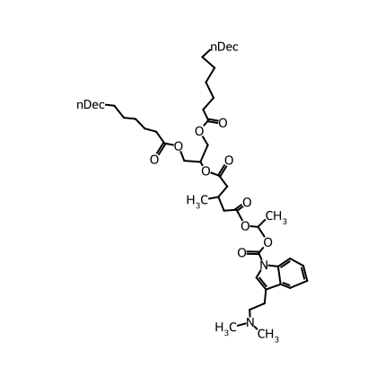 CCCCCCCCCCCCCCCC(=O)OCC(COC(=O)CCCCCCCCCCCCCCC)OC(=O)CC(C)CC(=O)OC(C)OC(=O)n1cc(CCN(C)C)c2ccccc21